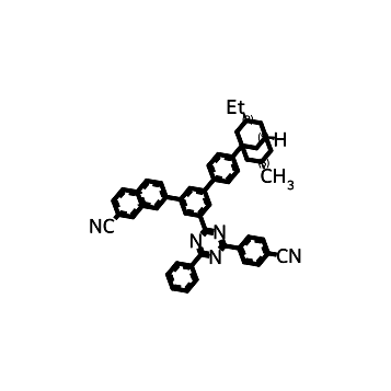 CC[C@@H]1C[C@@H]2C[C@H](C)CC(c3ccc(-c4cc(-c5ccc6ccc(C#N)cc6c5)cc(-c5nc(-c6ccccc6)nc(-c6ccc(C#N)cc6)n5)c4)cc3)(C1)C2